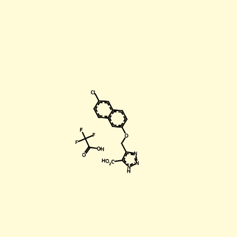 O=C(O)C(F)(F)F.O=C(O)c1[nH]nnc1COc1ccc2cc(Cl)ccc2c1